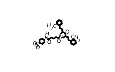 Cc1ccccc1C/C=C1\CN(C(=O)CCCC(=O)NC2=CCC(=S(=O)=O)C=C2)C/C(=C\Cc2ccccc2C)C1=O